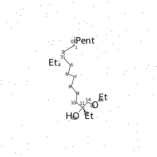 CCC[C@H](C)CC[C@@H](CC)CCCCCC[C@](O)(CC)COCC